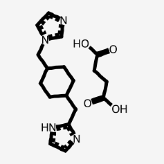 O=C(O)CCC(=O)O.c1cn(CC2CCC(Cc3ncc[nH]3)CC2)cn1